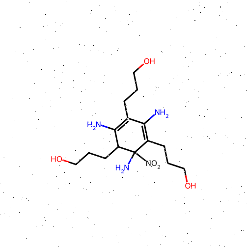 NC1=C(CCCO)C(N)([N+](=O)[O-])C(CCCO)C(N)=C1CCCO